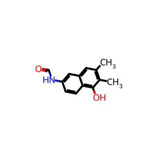 Cc1cc2cc(NC=O)ccc2c(O)c1C